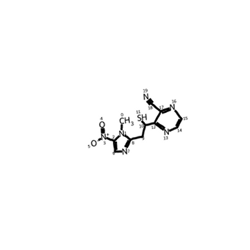 Cn1c([N+](=O)[O-])cnc1CC(S)c1nccnc1C#N